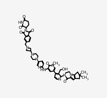 Cn1cc(-c2ccnc(N3CCn4c(cc5c4CC(C)(C)C5)C3=O)c2CO)cc(Nc2ccc(N3CCN(C4CN(Cc5ccc6c(c5)C(=O)N(C5CCC(=O)NC5=O)C6=O)C4)CC3)cn2)c1=O